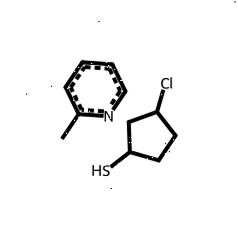 Cc1ccccn1.SC1CCC(Cl)C1